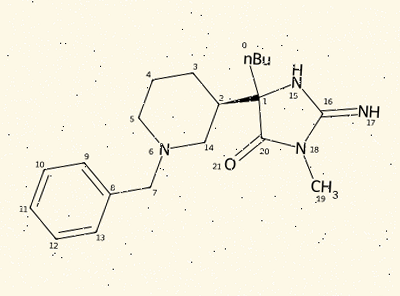 CCCCC1([C@@H]2CCCN(Cc3ccccc3)C2)NC(=N)N(C)C1=O